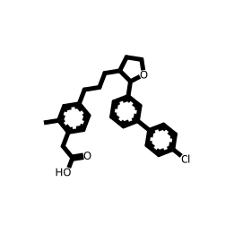 Cc1cc(CCCC2CCOC2c2cccc(-c3ccc(Cl)cc3)c2)ccc1CC(=O)O